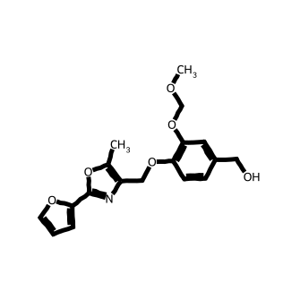 COCOc1cc(CO)ccc1OCc1nc(-c2ccco2)oc1C